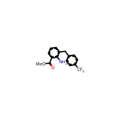 COC(=O)c1cccc(Cc2ccc(C(F)(F)F)cc2)c1N